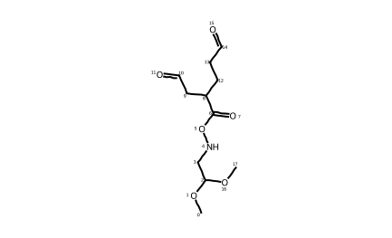 COC(CNOC(=O)C(CC=O)CCC=O)OC